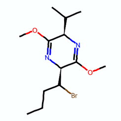 CCCC(Br)[C@H]1N=C(OC)[C@@H](C(C)C)N=C1OC